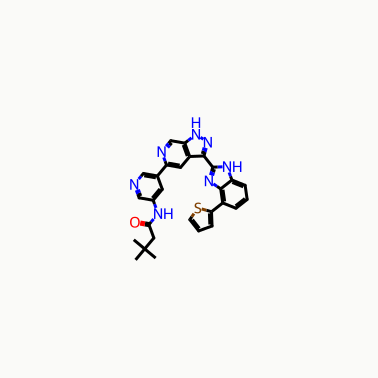 CC(C)(C)CC(=O)Nc1cncc(-c2cc3c(-c4nc5c(-c6cccs6)cccc5[nH]4)n[nH]c3cn2)c1